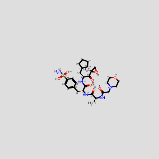 C[C@H](NC(=O)CN1CCOCC1)C(=O)N[C@@H](Cc1ccc(S(N)(=O)=O)cc1)C(=O)N[C@@H](CC1CCCC1)C(=O)[C@@]1(C)CO1